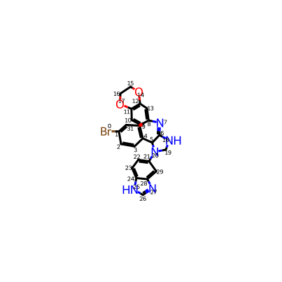 Brc1ccc(C2/C(=N\c3ccc4c(c3)OCCO4)NCN2c2ccc3[nH]cnc3c2)cc1